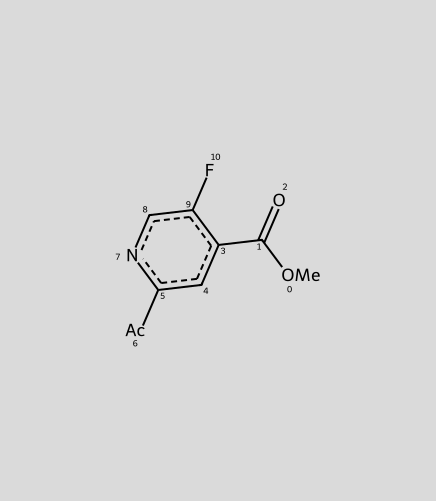 COC(=O)c1cc(C(C)=O)ncc1F